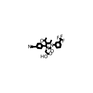 CC(=O)C1=C(C)N(c2cccc(C(F)(F)F)c2)C(=O)N(CC(=O)O)C1c1ccc(C#N)cc1